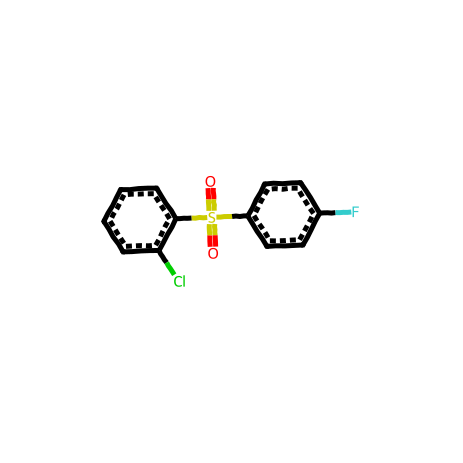 O=S(=O)(c1ccc(F)cc1)c1ccccc1Cl